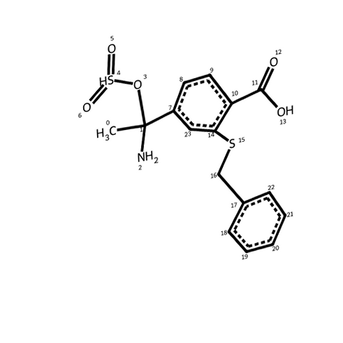 CC(N)(O[SH](=O)=O)c1ccc(C(=O)O)c(SCc2ccccc2)c1